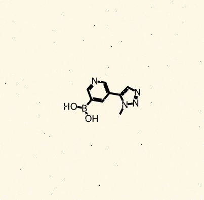 Cn1nncc1-c1cncc(B(O)O)c1